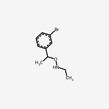 CCNOC(C)c1cccc(Br)c1